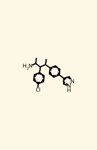 CC(N)C(c1ccc(Cl)cc1)C(C)c1ccc(-c2cn[nH]c2)cc1